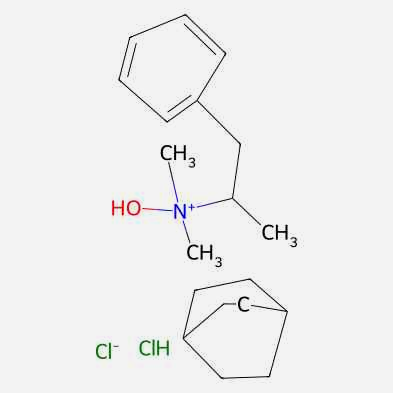 C1CC2CCC1CC2.CC(Cc1ccccc1)[N+](C)(C)O.Cl.[Cl-]